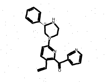 C=Cc1ccc(N2CCN[C@@H](c3ccccc3)C2)nc1C(=O)c1cccnc1